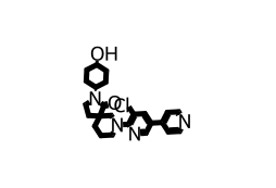 O=C1N([C@H]2CC[C@H](O)CC2)CCC12CCCN(c1ncc(-c3ccncc3)cc1Cl)C2